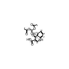 CC(=O)OB(O)OC(C)=O.O=C(O)c1c[nH]c2ccccc2c1=O